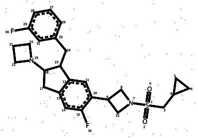 O=S(=O)(CC1CC1)N1CC(c2cc3c(cc2F)CC(N2CCC2)C3Cc2cccc(F)c2)C1